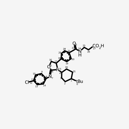 CC(C)(C)C1CCC(N2C(=Nc3ccc(Cl)cc3)OCC2c2ccc(C(=O)NCCC(=O)O)cc2)CC1